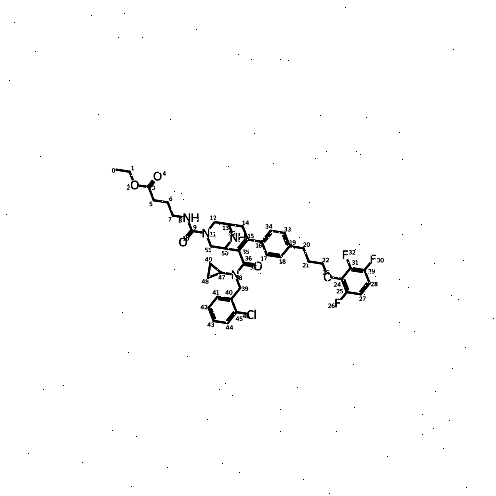 CCOC(=O)CCCNC(=O)N1CC2CC(c3ccc(CCCOc4c(F)ccc(F)c4F)cc3)=C(C(=O)N(Cc3ccccc3Cl)C3CC3)C(C1)N2